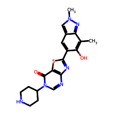 Cc1c(O)c(-c2nc3ncn(C4CCNCC4)c(=O)c3s2)cc2cn(C)nc12